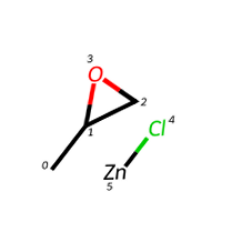 CC1CO1.[Cl][Zn]